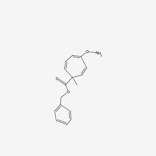 CC1(C(=O)OCc2ccccc2)C=CC=C(ON)C=C1